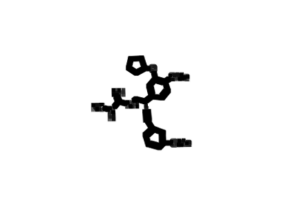 COc1cccc(C#C[C@H](CNC(=N)NC#N)c2ccc(OC)c(OC3CCCC3)c2)c1